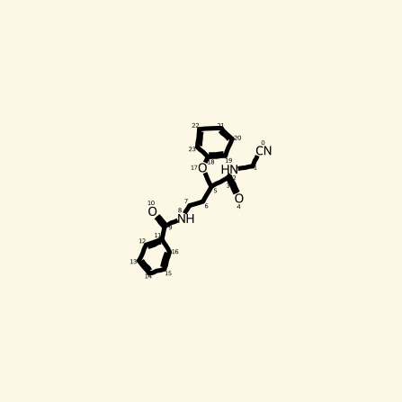 N#CCNC(=O)C(CCNC(=O)c1ccccc1)Oc1ccccc1